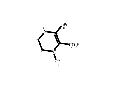 CCCC1=C(C(=O)OCC)[S+]([O-])CCS1